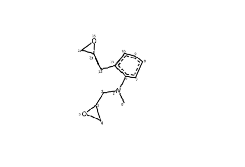 CN(CC1CO1)c1ccccc1CC1CO1